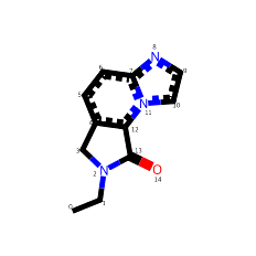 CCN1Cc2ccc3nccn3c2C1=O